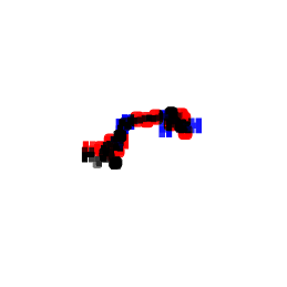 Cc1c(O)cc(O)c(C(=O)N2Cc3ccc(CN4CCN(CCOCCOCCOCCNc5cccc6c5C(=O)N(C5CCC(=O)NC5=O)C6=O)CC4)cc3C2)c1OCC1CCCCC1